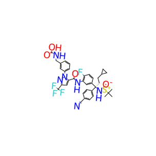 CC(C)(C)[S@+]([O-])N[C@@](CCC1CC1)(c1ccc(C#N)cc1)c1ccc(F)c(NC(=O)c2cc(C(F)(F)F)nn2-c2cccc(CNC(=O)O)c2)c1